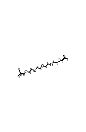 CC(C)=COCCOCCOCCOCCOC=C(C)C